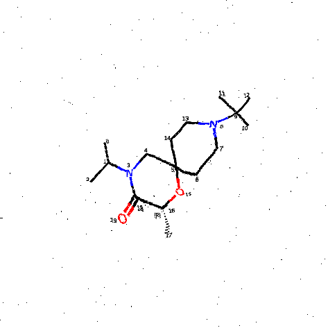 CC(C)N1CC2(CCN(C(C)(C)C)CC2)O[C@H](C)C1=O